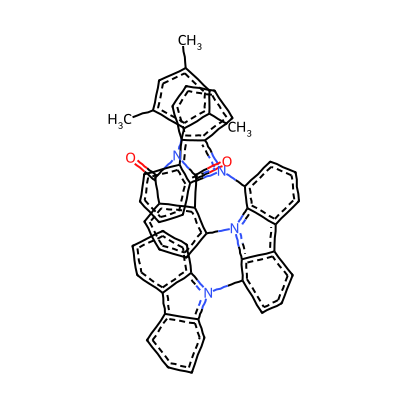 Cc1cc(C)c(N2C(=O)c3cccc(-n4c5c(-n6c7ccccc7c7ccccc76)cccc5c5cccc(-n6c7ccccc7c7ccccc76)c54)c3C2=O)c(C)c1